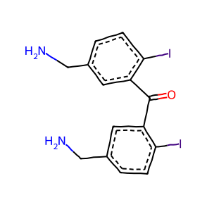 NCc1ccc(I)c(C(=O)c2cc(CN)ccc2I)c1